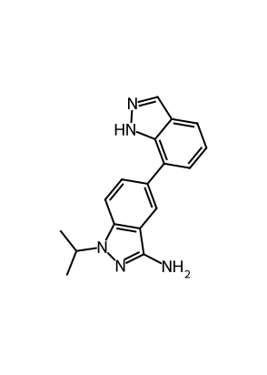 CC(C)n1nc(N)c2cc(-c3cccc4cn[nH]c34)ccc21